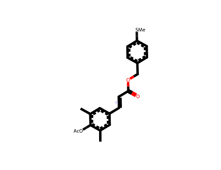 CSc1ccc(COC(=O)/C=C/c2cc(C)c(OC(C)=O)c(C)c2)cc1